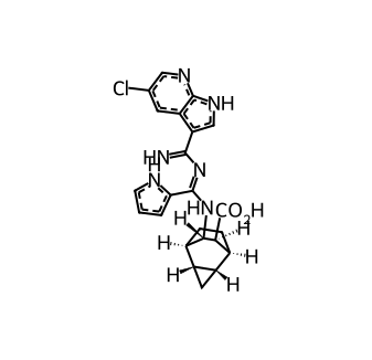 N=C(/N=C(/N[C@H]1[C@@H]2CC[C@@H]([C@@H]3C[C@@H]32)[C@@H]1C(=O)O)c1ccc[nH]1)c1c[nH]c2ncc(Cl)cc12